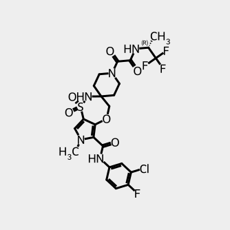 C[C@@H](NC(=O)C(=O)N1CCC2(CC1)COc1c(cn(C)c1C(=O)Nc1ccc(F)c(Cl)c1)S(=O)(=O)N2)C(F)(F)F